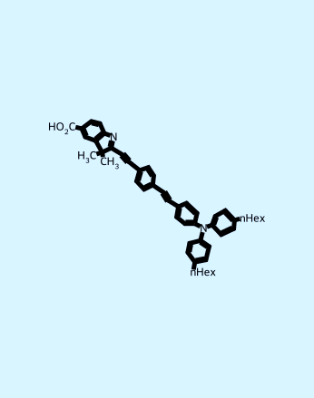 CCCCCCc1ccc(N(c2ccc(C#Cc3ccc(C#CC4=Nc5ccc(C(=O)O)cc5C4(C)C)cc3)cc2)c2ccc(CCCCCC)cc2)cc1